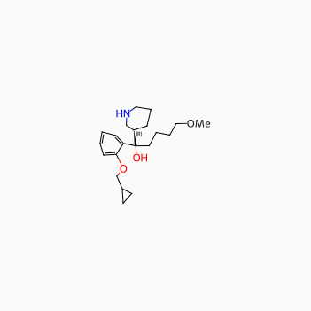 COCCCCC(O)(c1ccccc1OCC1CC1)[C@@H]1CCCNC1